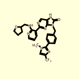 Cn1cc(C(F)(F)F)nc1-c1ccc(Cn2c(=O)[nH]c3cnc(-c4cccnc4NCC4CCCO4)nc32)cc1